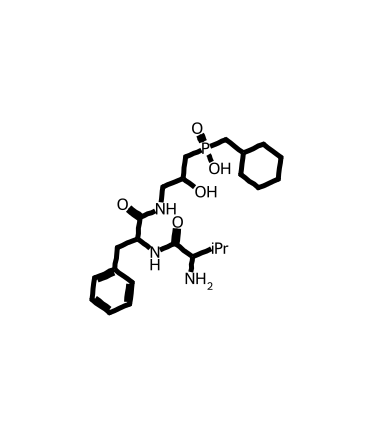 CC(C)C(N)C(=O)NC(Cc1ccccc1)C(=O)NCC(O)CP(=O)(O)CC1CCCCC1